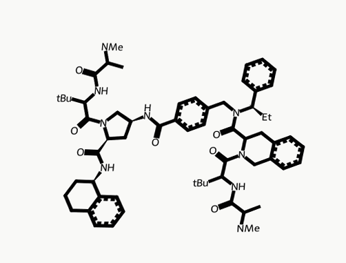 CC[C@H](c1ccccc1)N(Cc1ccc(C(=O)N[C@H]2C[C@@H](C(=O)N[C@@H]3CCCc4ccccc43)N(C(=O)C(NC(=O)C(C)NC)C(C)(C)C)C2)cc1)C(=O)C1Cc2ccccc2CN1C(=O)C(NC(=O)C(C)NC)C(C)(C)C